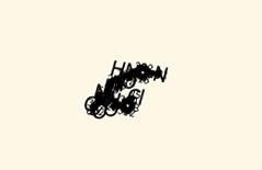 CS(=O)(=O)c1cnc(N2CCC(CC(=O)Nc3ccc(C#N)cc3)CC2)c(NC(=O)c2cccc(Cl)c2)c1